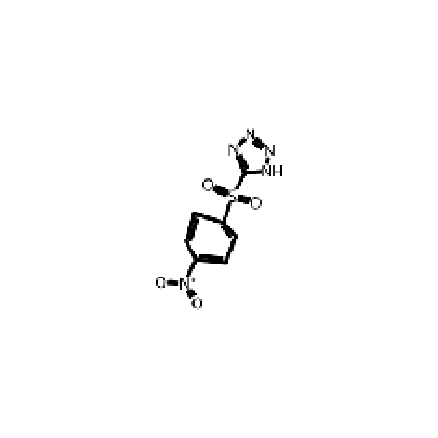 O=[N+]([O-])c1ccc(S(=O)(=O)c2nnn[nH]2)cc1